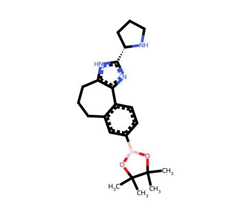 CC1(C)OB(c2ccc3c(c2)CCCc2[nH]c([C@@H]4CCCN4)nc2-3)OC1(C)C